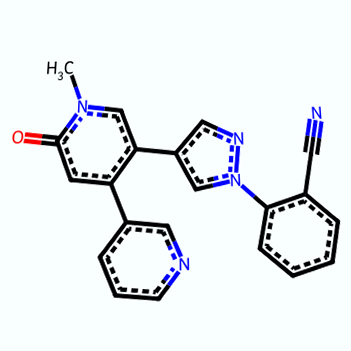 Cn1cc(-c2cnn(-c3ccccc3C#N)c2)c(-c2cccnc2)cc1=O